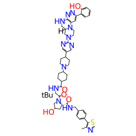 Cc1ncsc1-c1ccc(CNC(=O)[C@@H]2C[C@@H](O)CN2C(=O)[C@@H](NC(=O)C2CCC(N3CCC(c4cnc(N5CCN6c7cc(-c8ccccc8O)nnc7NC[C@H]6C5)nc4)CC3)CC2)C(C)(C)C)cc1